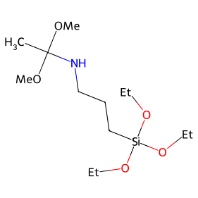 CCO[Si](CCCNC(C)(OC)OC)(OCC)OCC